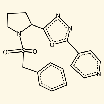 O=S(=O)(Cc1ccccc1)N1CCCC1c1nnc(-c2ccncc2)o1